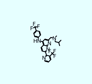 CC(C)CN(C)Cc1cc(Nc2ccc(C(F)(F)F)cc2)c2ccc(-c3ncccc3C(F)(F)F)nc2n1